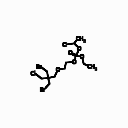 CCOP(=O)(OCCOCC(CCl)(CBr)CBr)OC(C)Cl